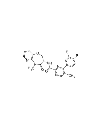 Cc1cnc(C(=O)N[C@H]2COc3cccnc3N(C)C2=O)nc1-c1ccc(F)c(F)c1